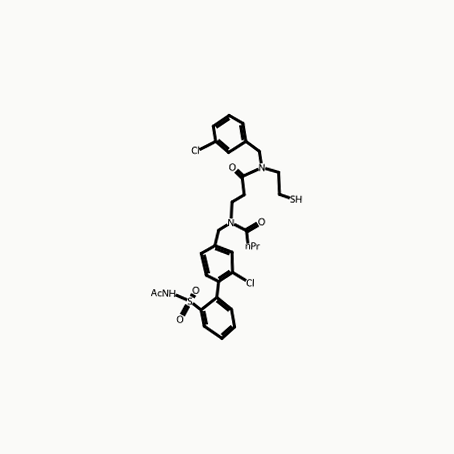 CCCC(=O)N(CCC(=O)N(CCS)Cc1cccc(Cl)c1)Cc1ccc(-c2ccccc2S(=O)(=O)NC(C)=O)c(Cl)c1